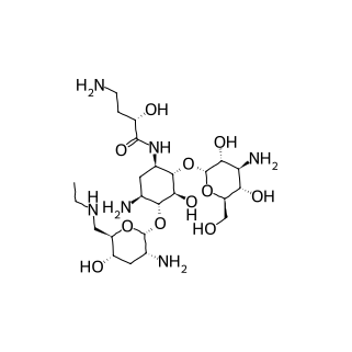 CCNC[C@H]1O[C@H](O[C@H]2[C@H](O)[C@@H](O[C@H]3O[C@H](CO)[C@@H](O)[C@H](N)[C@H]3O)[C@H](NC(=O)[C@@H](O)CCN)C[C@@H]2N)[C@H](N)C[C@@H]1O